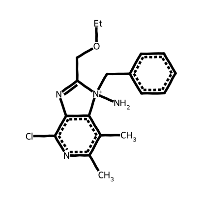 CCOCC1=Nc2c(Cl)nc(C)c(C)c2[N+]1(N)Cc1ccccc1